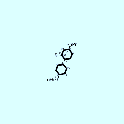 CCCCCC[C@H]1CC[C@H](C2CC[C@H](CCC)C[C@H]2C)CC1